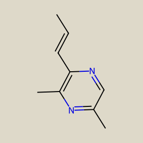 CC=Cc1ncc(C)nc1C